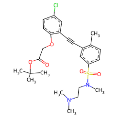 Cc1ccc(S(=O)(=O)N(C)CCN(C)C)cc1C#Cc1cc(Cl)ccc1OCC(=O)OC(C)(C)C